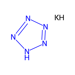 [KH].n1nn[nH]n1